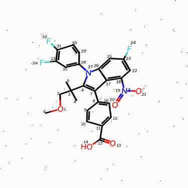 COCC(C)(C)c1c(-c2ccc(C(=O)O)cc2)c2c([N+](=O)[O-])cc(F)cc2n1-c1ccc(F)c(F)c1